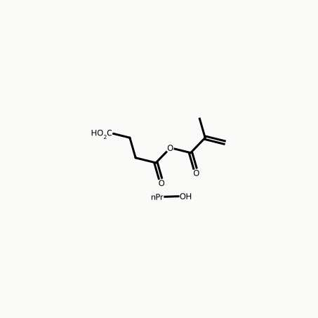 C=C(C)C(=O)OC(=O)CCC(=O)O.CCCO